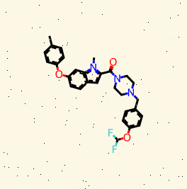 Cc1ccc(Oc2ccc3cc(C(=O)N4CCN(Cc5ccc(OC(F)F)cc5)CC4)n(C)c3c2)cc1